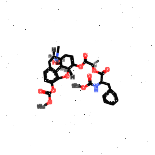 C[C@H](OC(=O)C(Cc1ccccc1)NC(=O)OC(C)(C)C)C(=O)OC1=CC[C@@]2(O)[C@H]3Cc4ccc(OC(=O)OC(C)(C)C)c5c4[C@@]2(CCN3C)[C@H]1O5